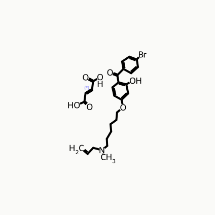 C=CCN(C)CCCCCCOc1ccc(C(=O)c2ccc(Br)cc2)c(O)c1.O=C(O)/C=C/C(=O)O